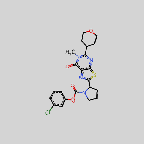 Cn1c(C2CCOCC2)nc2sc(C3CCCN3C(=O)Oc3cccc(Cl)c3)nc2c1=O